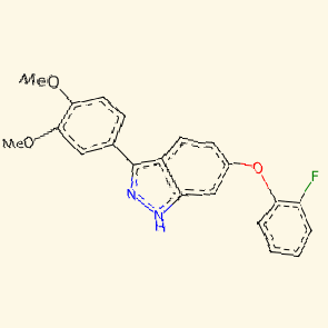 COc1ccc(-c2n[nH]c3cc(Oc4ccccc4F)ccc23)cc1OC